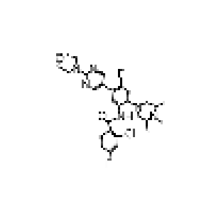 CC1CN(c2cc(F)c(-c3cnc(N4CCOCC4)nc3)cc2NC(=O)c2ccc(F)cc2Cl)CC(C)N1C